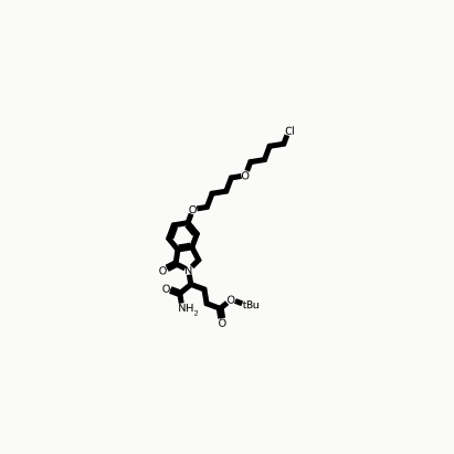 CC(C)(C)OC(=O)CCC(C(N)=O)N1Cc2cc(OCCCCOCCCCCl)ccc2C1=O